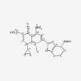 CNC1CCCc2sc(-c3cc(N)c4c(=O)c(C(=O)O)cn(C5CC5)c4c3C)cc21